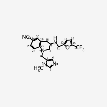 Cn1cncc1CN1CC(NCc2ccc(C(F)(F)F)o2)Cc2cc(C#N)ccc21